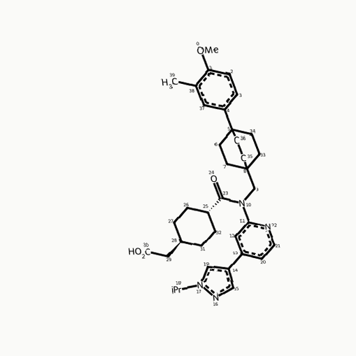 COc1ccc(C23CCC(CN(c4cc(-c5cnn(C(C)C)c5)ccn4)C(=O)[C@H]4CC[C@H](CC(=O)O)CC4)(CC2)CC3)cc1C